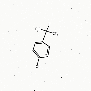 FC(F)(F)C(F)(c1ccc(Cl)cc1)C(F)(F)F